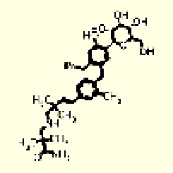 Cc1cc(/C=C/C(C)(C)CNCC(C)(C)C(N)=O)ccc1Cc1cc([C@@H]2OC(CO)[C@@H](O)[C@H](O)[C@H]2O)c(O)cc1CC(C)C